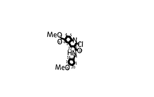 COC(=O)c1ccc2nc(Cl)c(C(=O)NCc3ccc(OC)cc3)cc2c1